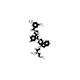 CN(CCN)C(=O)CO[C@H]1Cc2ccccc2C12CCN(CC[C@@]1(c3ccc(F)cc3)CN(C(=O)c3cc(C(F)(F)F)cc(C(F)(F)F)c3)CO1)CC2